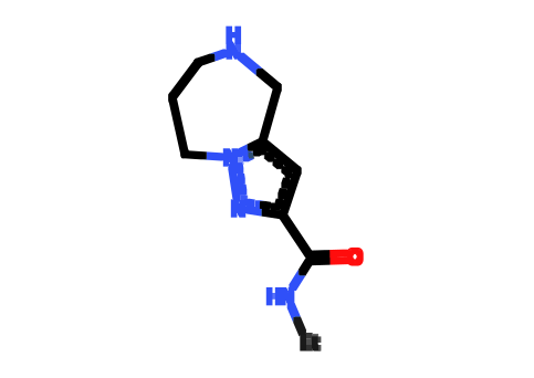 CCNC(=O)c1cc2n(n1)CCCNC2